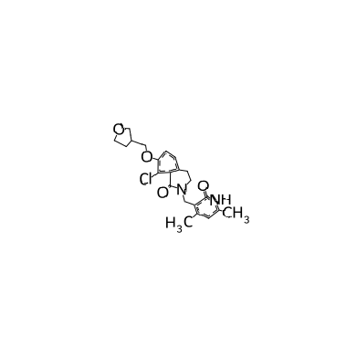 Cc1cc(C)c(CN2CCc3ccc(OCC4CCOC4)c(Cl)c3C2=O)c(=O)[nH]1